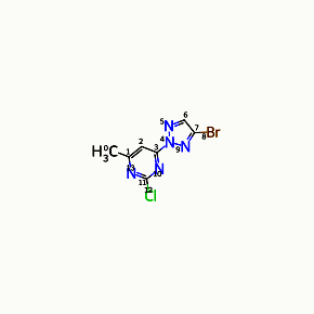 Cc1cc(-n2ncc(Br)n2)nc(Cl)n1